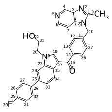 Cc1nc2cnccc2n1Cc1ccc(C(=O)c2cn(CCO)c3cc(-c4ccc(F)cc4)ccc23)cc1